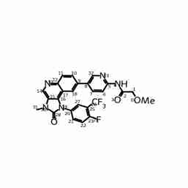 COCC(=O)Nc1ccc(-c2ccc3ncc4c(c3c2)n(-c2ccc(F)c(C(F)(F)F)c2)c(=O)n4C)cn1